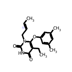 C/C=C/Cn1c(Oc2cc(C)cc(C)c2)c(CC)c(=O)[nH]c1=O